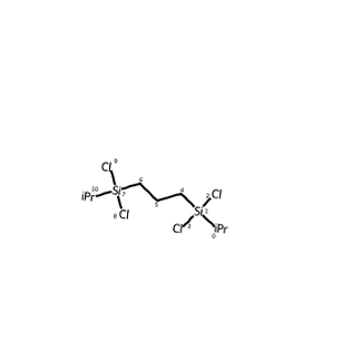 CC(C)[Si](Cl)(Cl)CCC[Si](Cl)(Cl)C(C)C